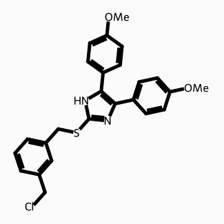 COc1ccc(-c2nc(SCc3cccc(CCl)c3)[nH]c2-c2ccc(OC)cc2)cc1